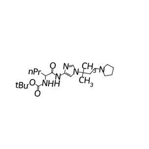 CCCC(NC(=O)OC(C)(C)C)C(=O)Nc1cn(C(C)(C)CCN2CCCC2)cn1